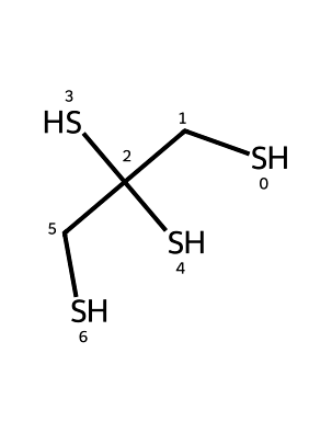 SCC(S)(S)CS